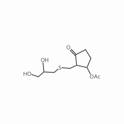 CC(=O)OC1CCC(=O)C1CSCC(O)CO